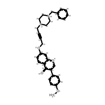 COc1ccc(-c2coc3cc(OCC#CCN4CCN(Cc5ccccc5)CC4)ccc3c2=O)cc1